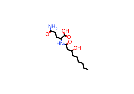 CCCCCCC(O)CC(=O)NC(CCC(N)=O)C(=O)O